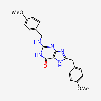 COc1ccc(CNc2nc3nc(Cc4ccc(OC)cc4)[nH]c3c(=O)[nH]2)cc1